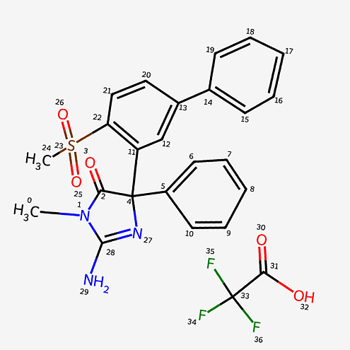 CN1C(=O)C(c2ccccc2)(c2cc(-c3ccccc3)ccc2S(C)(=O)=O)N=C1N.O=C(O)C(F)(F)F